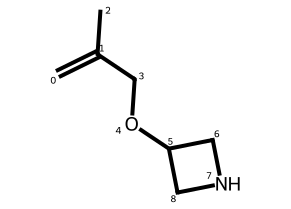 C=C(C)COC1CNC1